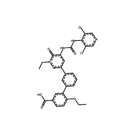 CCOc1ccc(C(=O)O)cc1-c1cccc(-c2cc(NC(=O)Nc3c(Cl)cncc3Cl)c(=O)n(CC)n2)c1